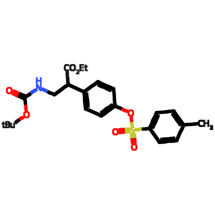 CCOC(=O)C(CNC(=O)OC(C)(C)C)c1ccc(OS(=O)(=O)c2ccc(C)cc2)cc1